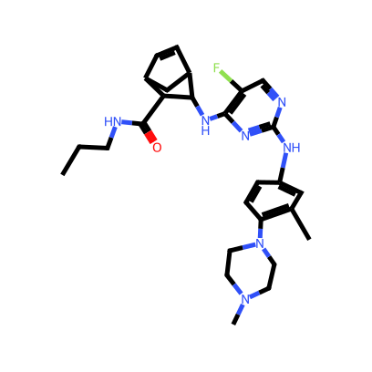 CCCNC(=O)C1C2C=CC(C2)C1Nc1nc(Nc2ccc(N3CCN(C)CC3)c(C)c2)ncc1F